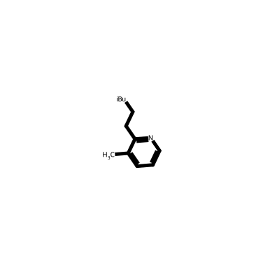 CCC(C)CCc1ncccc1C